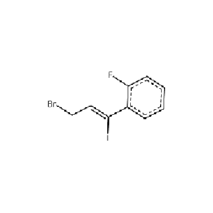 Fc1ccccc1C(I)=CCBr